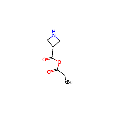 CC(C)(C)CC(=O)OC(=O)C1CNC1